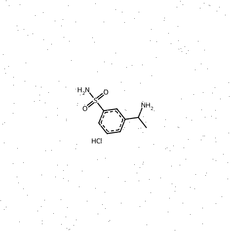 CC(N)c1cccc(S(N)(=O)=O)c1.Cl